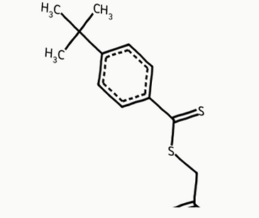 CC(C)(C)c1ccc(C(=S)SCC(=O)O)cc1